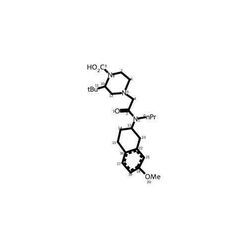 CCCN(C(=O)CN1CCN(C(=O)O)C(C(C)(C)C)C1)C1CCc2ccc(OC)cc2C1